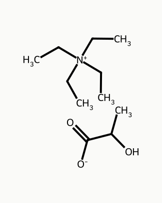 CC(O)C(=O)[O-].CC[N+](CC)(CC)CC